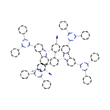 N#Cc1ccc(-c2cc(-c3ccc(C(F)(F)F)cc3C#N)ccc2-n2c3ccc(-c4nc(-c5ccccc5)nc(-c5ccccc5)n4)cc3c3cc(-c4nc(-c5ccccc5)nc(-c5ccccc5)n4)ccc32)c(-n2c3ccc(-c4nc(-c5ccccc5)nc(-c5ccccc5)n4)cc3c3cc(-c4nc(-c5ccccc5)nc(-c5ccccc5)n4)ccc32)c1